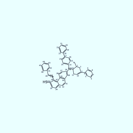 CC1CC(c2ccccc2)=CCC1N(c1ccc(-c2ccccc2)cc1)c1ccc2c(ccc3ccc(S)c(/N=C/c4ccccc4)c32)c1